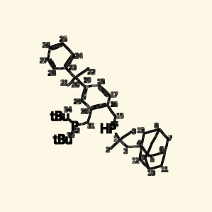 CC(C)(CC12CC3CC(CC(C3)C1)C2)PCc1ccc(C(C)(C)c2ccccc2)cc1CP(C(C)(C)C)C(C)(C)C